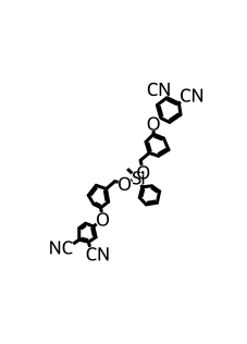 C[Si](OCc1cccc(Oc2ccc(C#N)c(C#N)c2)c1)(OCc1cccc(Oc2ccc(C#N)c(C#N)c2)c1)c1ccccc1